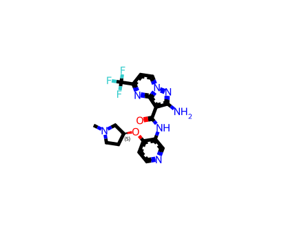 CN1CC[C@H](Oc2ccncc2NC(=O)c2c(N)nn3ccc(C(F)(F)F)nc23)C1